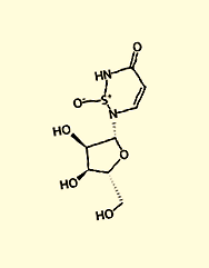 O=C1C=CN([C@@H]2O[C@H](CO)[C@@H](O)[C@H]2O)[S+]([O-])N1